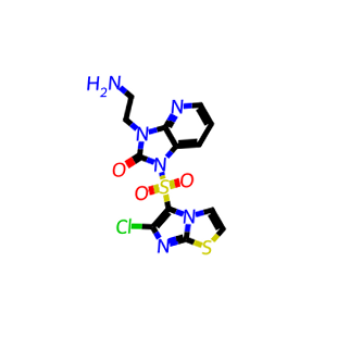 NCCn1c(=O)n(S(=O)(=O)c2c(Cl)nc3sccn23)c2cccnc21